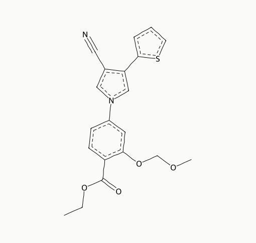 CCOC(=O)c1ccc(-n2cc(C#N)c(-c3cccs3)c2)cc1OCOC